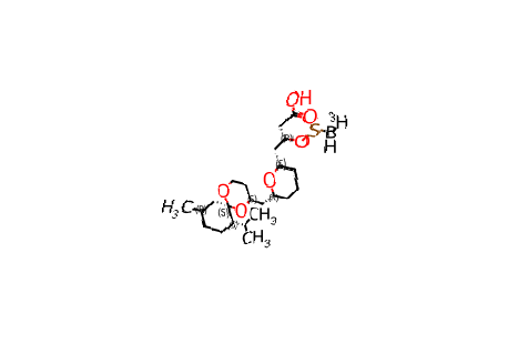 [3H]BSO[C@@H](CC(=O)O)C[C@@H]1CCC[C@H](C[C@@H]2CCO[C@@]3(C[C@H](C)CC[C@H]3C(C)C)O2)O1